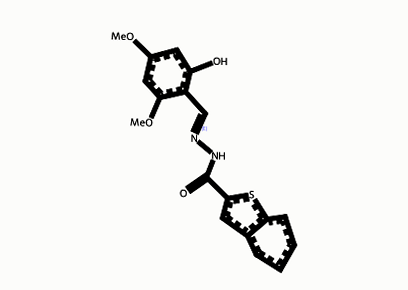 COc1cc(O)c(/C=N/NC(=O)c2cc3ccccc3s2)c(OC)c1